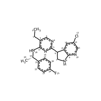 CCc1cnc(C2CNc3ncc(Cl)cc32)nc1N[C@@H](C)c1ccc(F)cc1